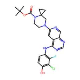 CC(C)(C)OC(=O)N1CCN(c2cc3c(Nc4ccc(O)c(Cl)c4F)ncnc3cn2)CC12CC2